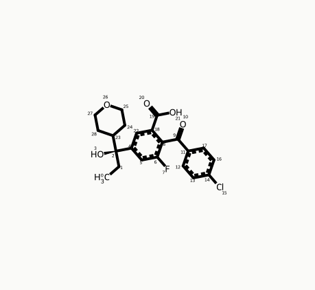 CC[C@@](O)(c1cc(F)c(C(=O)c2ccc(Cl)cc2)c(C(=O)O)c1)C1CCOCC1